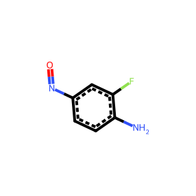 Nc1ccc(N=O)cc1F